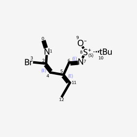 C=N\C(Br)=C/C(/C=N/[S@+]([O-])C(C)(C)C)=C\C